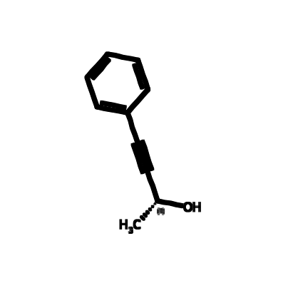 C[C@@H](O)C#Cc1ccccc1